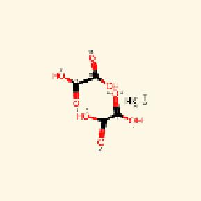 O=C(O)C(=O)O.O=C(O)C(=O)O.[KH].[Ti]